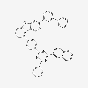 c1ccc(-c2cccc(-c3cc4oc5cccc(-c6ccc(-c7nc(-c8ccccc8)nc(-c8ccc9ccccc9c8)n7)cc6)c5c4cn3)c2)cc1